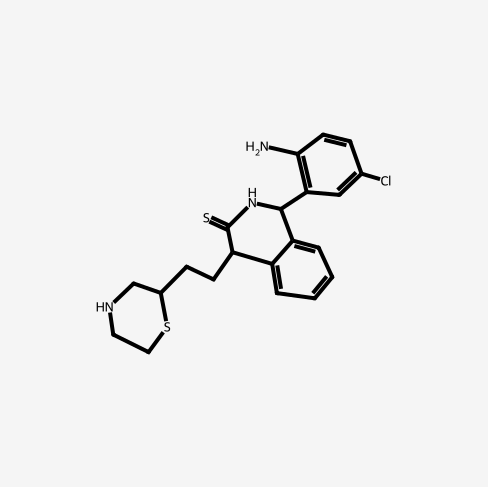 Nc1ccc(Cl)cc1C1NC(=S)C(CCC2CNCCS2)c2ccccc21